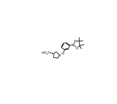 CC1(C)OB(c2cccc(O[C@@H]3CCN(C(=O)O)C3)c2)OC1(C)C